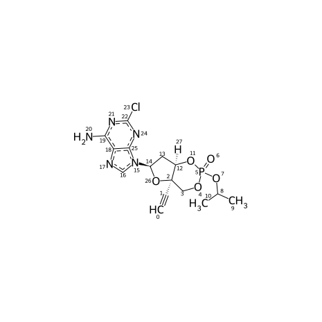 C#C[C@@]12COP(=O)(OC(C)C)O[C@@H]1C[C@H](n1cnc3c(N)nc(Cl)nc31)O2